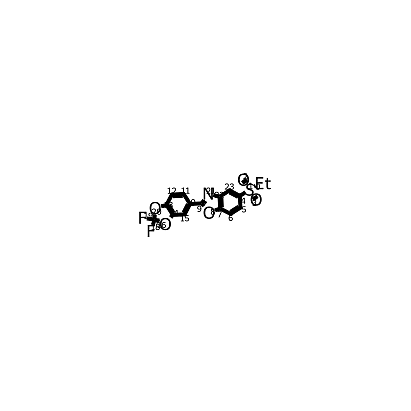 CCS(=O)(=O)c1ccc2oc(-c3ccc4c(c3)OC(F)(F)O4)nc2c1